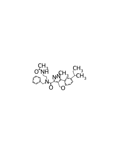 CCC(C)c1ccc2c(c1)-c1c(c(C(=O)N(CCNC(C)=O)Cc3ccccc3)nn1C)CO2